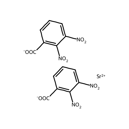 O=C([O-])c1cccc([N+](=O)[O-])c1[N+](=O)[O-].O=C([O-])c1cccc([N+](=O)[O-])c1[N+](=O)[O-].[Sr+2]